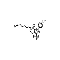 COc1ccc(-n2nc(C(F)(F)F)c3c2C(=O)N(CCCCCC#N)CC3)cc1